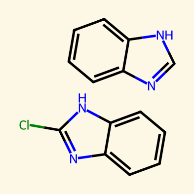 Clc1nc2ccccc2[nH]1.c1ccc2[nH]cnc2c1